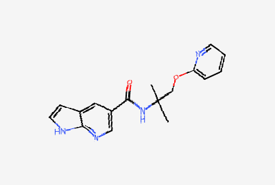 CC(C)(COc1ccccn1)NC(=O)c1cnc2[nH]ccc2c1